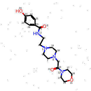 O=C(NCCN1CCN(CC(=O)N2CCOCC2)CC1)c1ccc(O)cc1